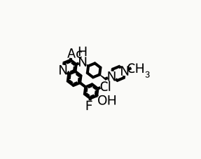 CC(=O)c1cnc2ccc(-c3cc(F)c(O)c(Cl)c3)cc2c1N[C@H]1CC[C@H](CN2CCN(C)CC2)CC1